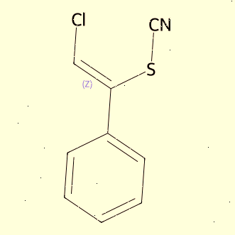 N#CS/C(=C\Cl)c1ccccc1